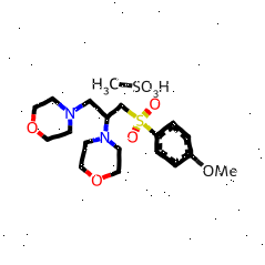 COc1ccc(S(=O)(=O)CC(CN2CCOCC2)N2CCOCC2)cc1.CS(=O)(=O)O